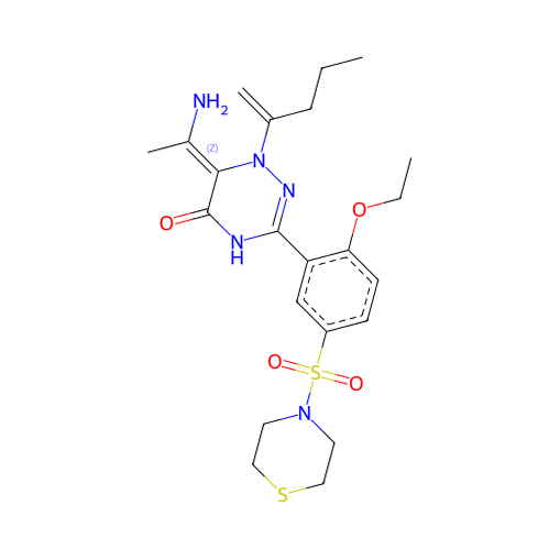 C=C(CCC)N1N=C(c2cc(S(=O)(=O)N3CCSCC3)ccc2OCC)NC(=O)/C1=C(\C)N